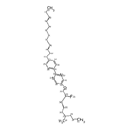 CCCCCCCCCCCCc1ccc(-c2ncc(OCC(F)CCCC(C)CCC)cn2)cc1